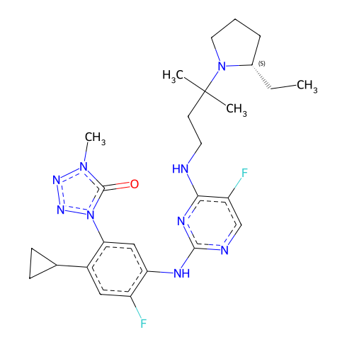 CC[C@H]1CCCN1C(C)(C)CCNc1nc(Nc2cc(-n3nnn(C)c3=O)c(C3CC3)cc2F)ncc1F